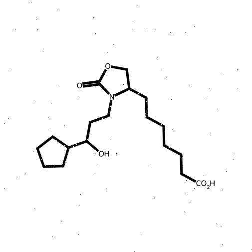 O=C(O)CCCCCCC1COC(=O)N1CCC(O)C1CCCC1